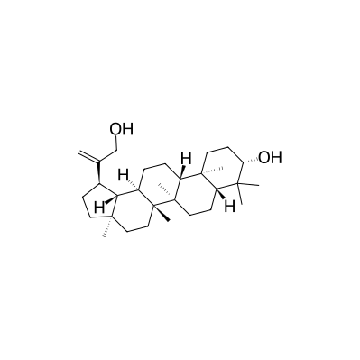 C=C(CO)[C@@H]1CC[C@]2(C)CC[C@]3(C)[C@H](CC[C@@H]4[C@@]5(C)CC[C@H](O)C(C)(C)[C@@H]5CC[C@]43C)[C@@H]12